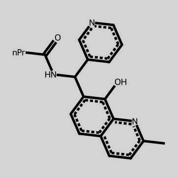 CCCC(=O)NC(c1cccnc1)c1ccc2ccc(C)nc2c1O